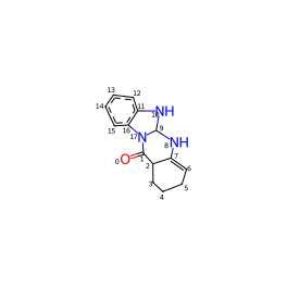 O=C1C2CCCC=C2NC2Nc3ccccc3N12